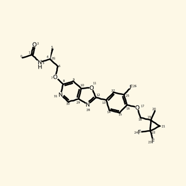 CC(=O)N[C@@H](C)COc1cc2oc(-c3ccc(OCC4(C)CC4(F)F)c(F)c3)nc2cn1